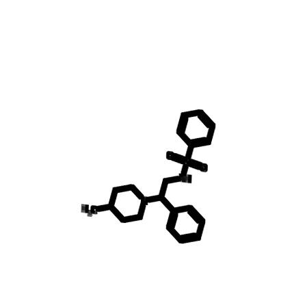 CC1CCN(C(CNS(=O)(=O)c2ccccc2)c2ccccc2)CC1